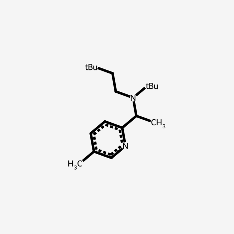 Cc1ccc(C(C)N(CCC(C)(C)C)C(C)(C)C)nc1